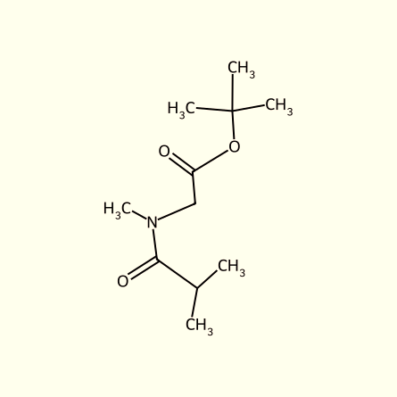 CC(C)C(=O)N(C)CC(=O)OC(C)(C)C